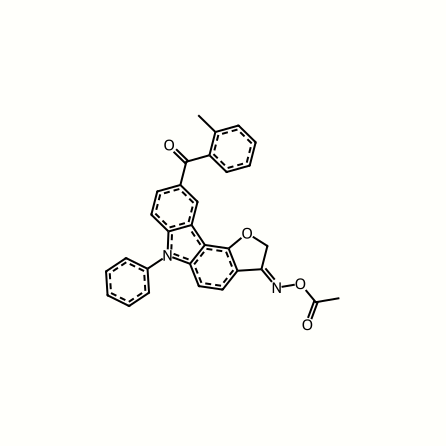 CC(=O)O/N=C1\COc2c1ccc1c2c2cc(C(=O)c3ccccc3C)ccc2n1-c1ccccc1